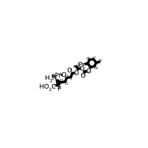 CCCOC(CC(=O)OC(C)OC(=O)OC1CC(C)CCC1C(C)C)CC1C(N)C1(F)C(=O)O